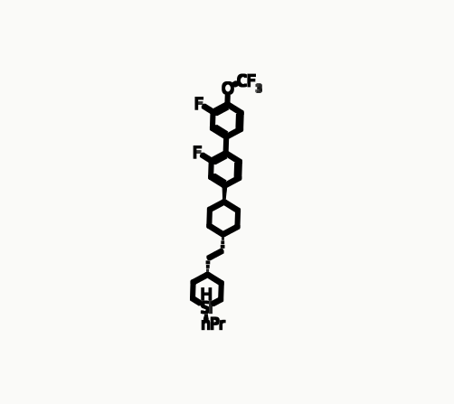 CCC[Si@H]1CC[C@H](CC[C@H]2CC[C@H](c3ccc(-c4ccc(OC(F)(F)F)c(F)c4)c(F)c3)CC2)CC1